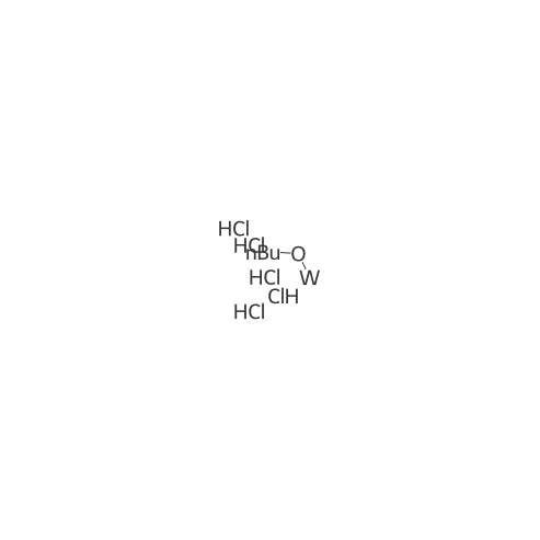 CCCC[O][W].Cl.Cl.Cl.Cl.Cl